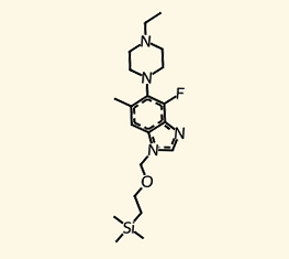 CCN1CCN(c2c(C)cc3c(ncn3COCC[Si](C)(C)C)c2F)CC1